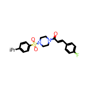 CC(C)c1ccc(S(=O)(=O)N2CCN(C(=O)/C=C/c3ccc(F)cc3)CC2)cc1